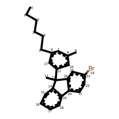 CCCCCCc1cc(C)cc(C2(C)c3ccccc3-c3ccc(Br)cc32)c1